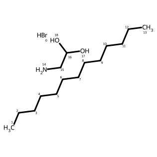 Br.CCCCCCCCCCCCC.NCC(O)O